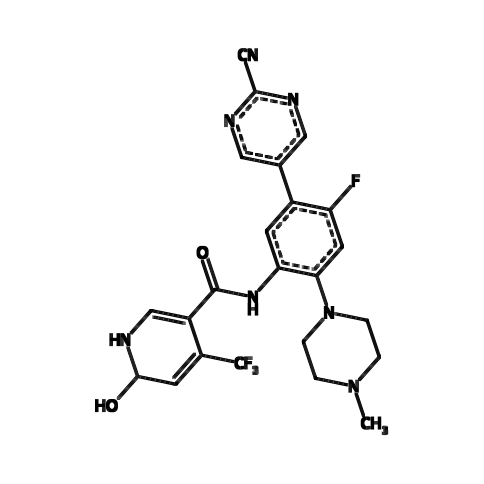 CN1CCN(c2cc(F)c(-c3cnc(C#N)nc3)cc2NC(=O)C2=CNC(O)C=C2C(F)(F)F)CC1